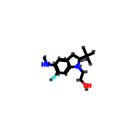 CNc1cc2c(cc1F)N(CCO)C(C(C)(C)C)C2